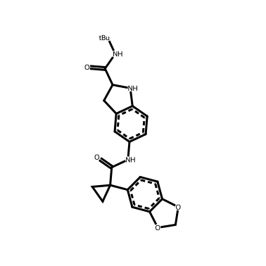 CC(C)(C)NC(=O)C1Cc2cc(NC(=O)C3(c4ccc5c(c4)OCO5)CC3)ccc2N1